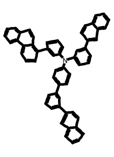 c1cc(-c2ccc(N(c3cccc(-c4ccc5ccccc5c4)c3)c3cccc(-c4cccc5c4ccc4ccccc45)c3)cc2)cc(-c2ccc3ccccc3c2)c1